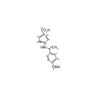 COc1ccc(C(C)Nc2ccc(C(=O)O)cn2)cc1